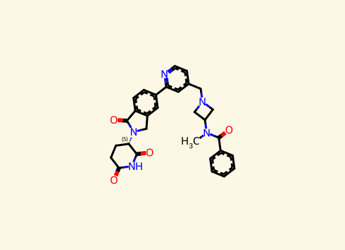 CN(C(=O)c1ccccc1)C1CN(Cc2ccnc(-c3ccc4c(c3)CN([C@H]3CCC(=O)NC3=O)C4=O)c2)C1